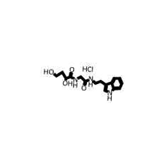 Cl.O=C(CNC(=O)C(O)CCO)NCCc1c[nH]c2ccccc12